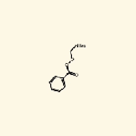 [CH2]CCCCCCOOC(=O)c1ccccc1